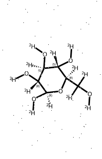 [2H]OC([2H])([2H])[C@@]1([2H])O[C@@]([2H])(O[2H])[C@]([2H])(O[2H])[C@@]([2H])(O[2H])[C@]1([2H])O[2H]